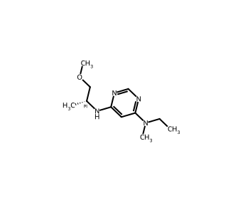 CCN(C)c1cc(N[C@H](C)COC)ncn1